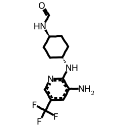 Nc1cc(C(F)(F)F)cnc1N[C@H]1CC[C@H](NC=O)CC1